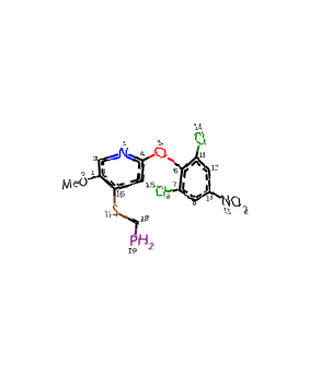 COc1cnc(Oc2c(Cl)cc([N+](=O)[O-])cc2Cl)cc1SCP